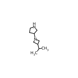 CC(C)C1CN(C2CCNC2)C1